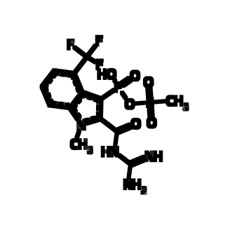 Cn1c(C(=O)NC(=N)N)c(P(=O)(O)OS(C)(=O)=O)c2c(C(F)(F)F)cccc21